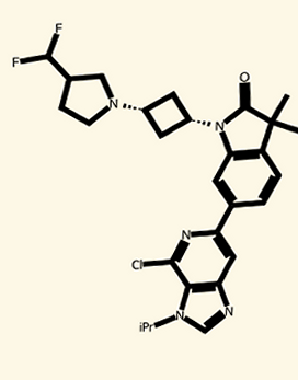 CC(C)n1cnc2cc(-c3ccc4c(c3)N([C@H]3C[C@@H](N5CCC(C(F)F)C5)C3)C(=O)C4(C)C)nc(Cl)c21